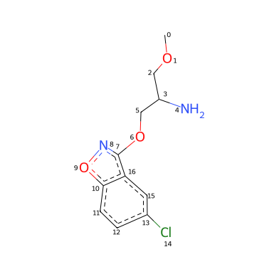 COCC(N)COc1noc2ccc(Cl)cc12